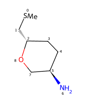 CSC[C@@H]1CC[C@@H](N)CO1